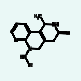 CCNN1CC2=C(c3cccnc31)C(C)NC(=O)C2